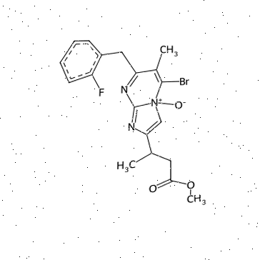 COC(=O)CC(C)C1=C[N+]2([O-])C(=N1)N=C(Cc1ccccc1F)C(C)=C2Br